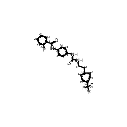 O=C(Nc1ccc(NC(=S)NCCc2ccc(C(F)(F)F)cc2)cc1)c1ccccc1F